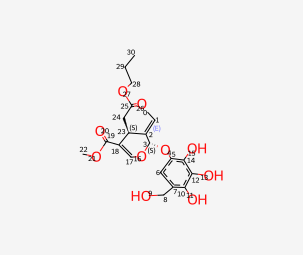 C/C=C1/[C@H](Oc2cc(CO)c(O)c(O)c2O)OC=C(C(=O)OC)[C@H]1CC(=O)OCCC